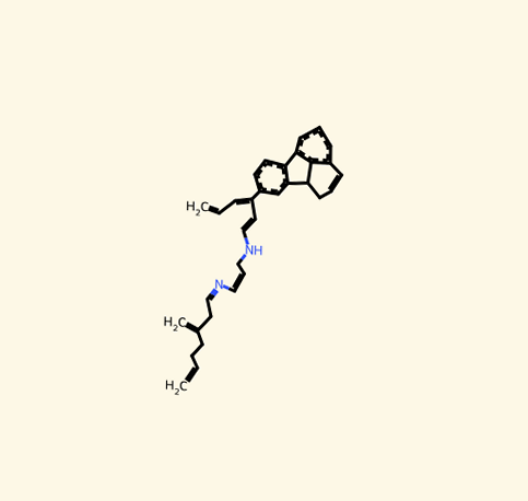 C=C/C=C(\C=C\NC/C=C\N=C/CC(=C)CCC=C)c1ccc2c(c1)C1CC=Cc3cccc-2c31